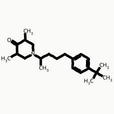 CC1CN(C(C)CCCc2ccc(C(C)(C)C)cc2)CC(C)C1=O